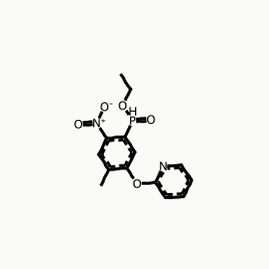 CCO[PH](=O)c1cc(Oc2ccccn2)c(C)cc1[N+](=O)[O-]